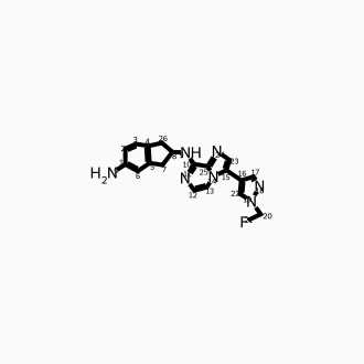 Nc1ccc2c(c1)CC(Nc1nccn3c(-c4cnn(CF)c4)cnc13)C2